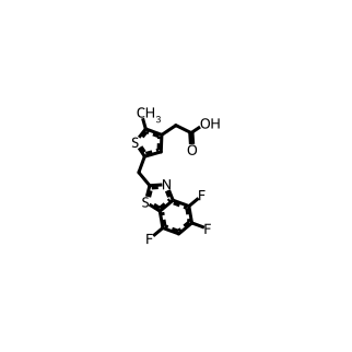 Cc1sc(Cc2nc3c(F)c(F)cc(F)c3s2)cc1CC(=O)O